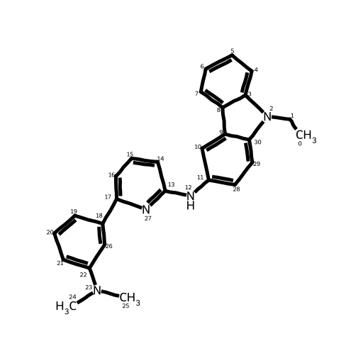 CCn1c2ccccc2c2cc(Nc3cccc(-c4cccc(N(C)C)c4)n3)ccc21